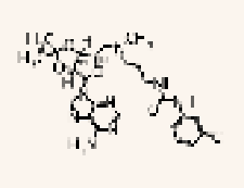 CN(CCCNC(=O)Nc1cccc(Cl)c1)C[C@H]1OC(n2cnc3c(N)ncnc32)[C@@H]2OC(C)(C)O[C@H]12